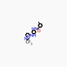 Cc1cccc(C(=O)Nc2ccc(Nc3cccc4nc(C(F)(F)F)cn34)cc2)c1